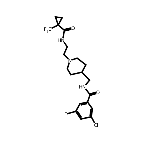 O=C(NCC1CCN(CCNC(=O)C2(C(F)(F)F)CC2)CC1)c1cc(F)cc(Cl)c1